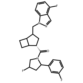 O=C([C@H]1CC(Cn2ncc3c(F)cccc32)C2CCC21)N1CC(F)CC1c1cccc(F)c1